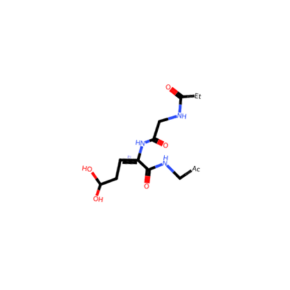 CCC(=O)NCC(=O)N/C(=C/CC(O)O)C(=O)NCC(C)=O